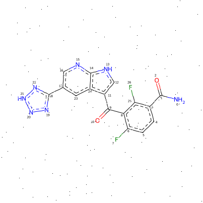 NC(=O)c1ccc(F)c(C(=O)c2c[nH]c3ncc(-c4nn[nH]n4)cc23)c1F